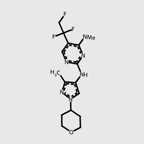 CNc1nc(Nc2cn(C3CCOCC3)nc2C)ncc1C(F)(F)CF